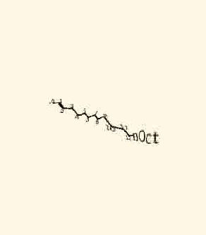 [CH2]/C=C/CCCCCCCCCCCCCCCCC[CH2]